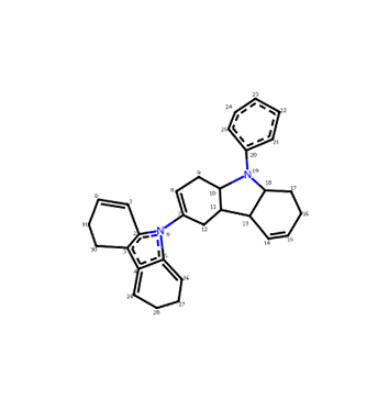 C1=Cc2c(c3c(n2C2=CCC4C(C2)C2C=CCCC2N4c2ccccc2)=CCCC=3)CC1